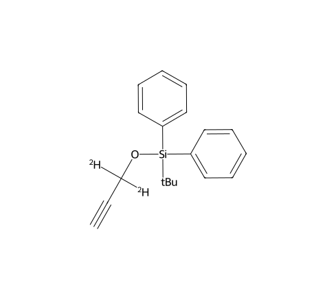 [2H]C([2H])(C#C)O[Si](c1ccccc1)(c1ccccc1)C(C)(C)C